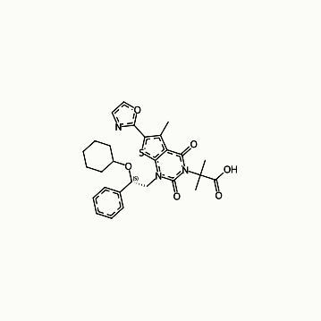 Cc1c(-c2ncco2)sc2c1c(=O)n(C(C)(C)C(=O)O)c(=O)n2C[C@@H](OC1CCCCC1)c1ccccc1